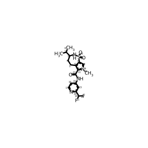 CC(C)C1CCc2c(cn(C)c2C(=O)Nc2ccnc(C(F)F)c2)S(=O)(=O)N1